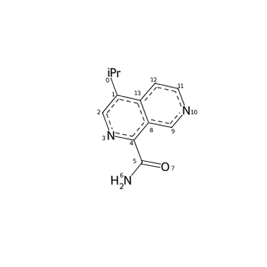 CC(C)c1cnc(C(N)=O)c2cnccc12